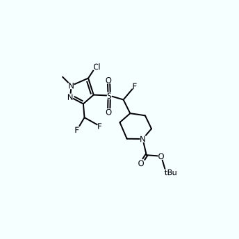 Cn1nc(C(F)F)c(S(=O)(=O)C(F)C2CCN(C(=O)OC(C)(C)C)CC2)c1Cl